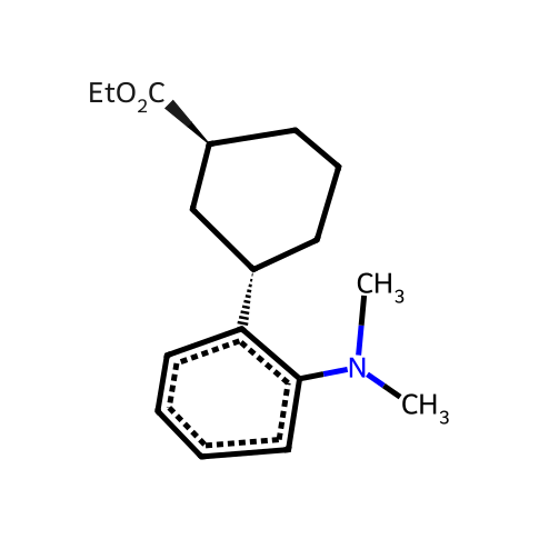 CCOC(=O)[C@H]1CCC[C@H](c2ccccc2N(C)C)C1